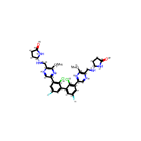 COc1nc(-c2cc(F)cc(-c3cc(F)cc(-c4cnc(CN[C@@H]5CCC(=O)N5)c(OC)n4)c3Cl)c2Cl)cnc1CN[C@@H]1CCC(=O)N1